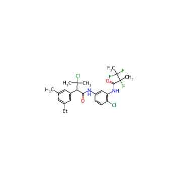 CCc1cc(C)cc(C(C(=O)Nc2ccc(Cl)c(NC(=O)C(C)(F)C(F)(F)C(F)(F)F)c2)C(C)(C)Cl)c1